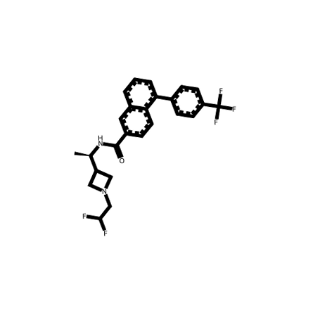 C[C@@H](NC(=O)c1ccc2c(-c3ccc(C(F)(F)F)cc3)cccc2c1)C1CN(CC(F)F)C1